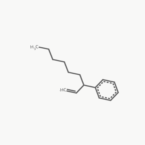 [CH]=CC(CCCCCC)c1ccccc1